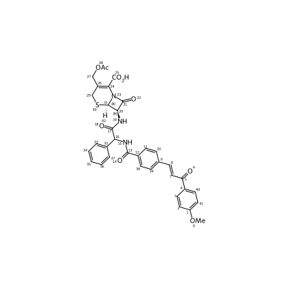 COc1ccc(C(=O)C=Cc2ccc(C(=O)NC(C(=O)N[C@@H]3C(=O)N4C(C(=O)O)=C(COC(C)=O)CS[C@H]34)c3ccccc3)cc2)cc1